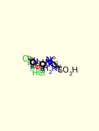 Cc1nn(-c2ccc(Oc3ncc(Cl)cc3F)c(F)c2)nc1CC(N)CC(=O)O.Cl